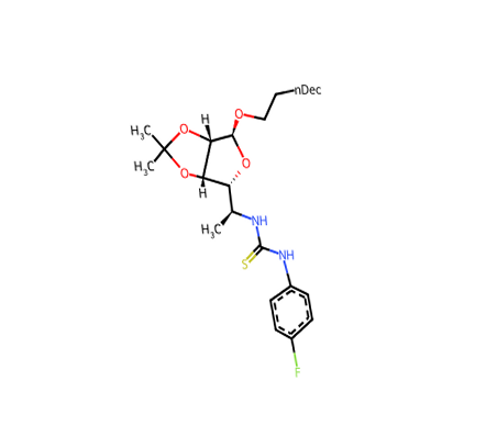 CCCCCCCCCCCCO[C@H]1O[C@H]([C@H](C)NC(=S)Nc2ccc(F)cc2)[C@@H]2OC(C)(C)O[C@H]12